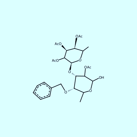 CC(=O)OC1C(O)OC(C)[C@H](OCc2ccccc2)[C@@H]1O[C@@H]1OC(C)[C@H](OC(C)=O)[C@H](OC(C)=O)C1OC(C)=O